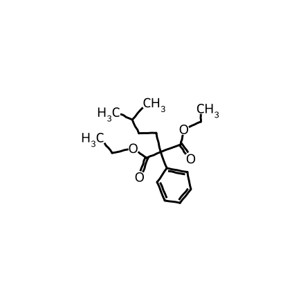 CCOC(=O)C(CCC(C)C)(C(=O)OCC)c1ccccc1